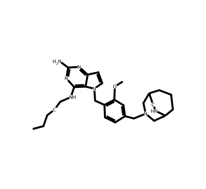 CCCCCNc1nc(N)nc2ccn(Cc3ccc(CN4CC5CCCC(C4)NC5)cc3OC)c12